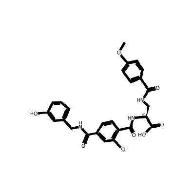 COc1ccc(C(=O)NC[C@H](NC(=O)c2ccc(C(=O)NCc3cccc(O)c3)cc2Cl)C(=O)O)cc1